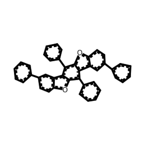 c1ccc(-c2ccc3oc4c(-c5ccccc5)c5c(oc6ccc(-c7ccccc7)cc65)c(-c5ccccc5)c4c3c2)cc1